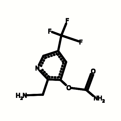 NCc1ncc(C(F)(F)F)cc1OC(N)=O